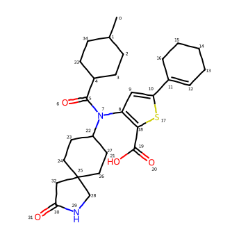 CC1CCC(C(=O)N(c2cc(C3=CCCCC3)sc2C(=O)O)C2CCC3(CC2)CNC(=O)C3)CC1